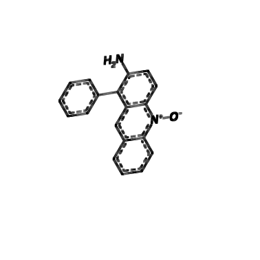 Nc1ccc2c(cc3ccccc3[n+]2[O-])c1-c1ccccc1